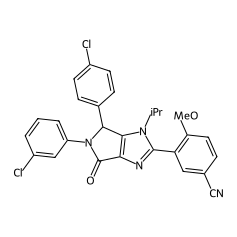 COc1ccc(C#N)cc1-c1nc2c(n1C(C)C)C(c1ccc(Cl)cc1)N(c1cccc(Cl)c1)C2=O